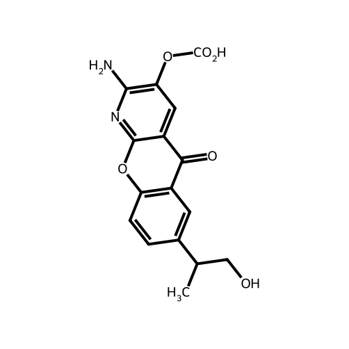 CC(CO)c1ccc2oc3nc(N)c(OC(=O)O)cc3c(=O)c2c1